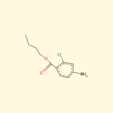 Bc1ccc(C(=O)OCCCC)c(Cl)c1